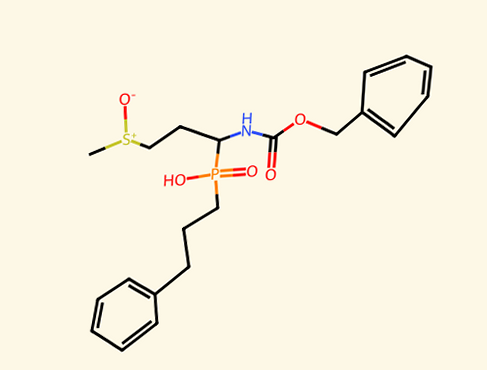 C[S+]([O-])CCC(NC(=O)OCc1ccccc1)P(=O)(O)CCCc1ccccc1